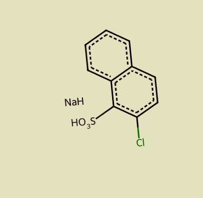 O=S(=O)(O)c1c(Cl)ccc2ccccc12.[NaH]